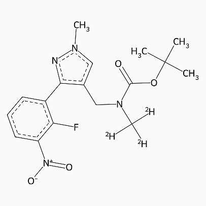 [2H]C([2H])([2H])N(Cc1cn(C)nc1-c1cccc([N+](=O)[O-])c1F)C(=O)OC(C)(C)C